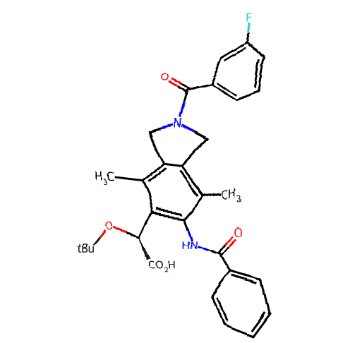 Cc1c2c(c(C)c([C@H](OC(C)(C)C)C(=O)O)c1NC(=O)c1ccccc1)CN(C(=O)c1cccc(F)c1)C2